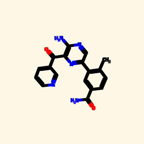 Cc1ccc(C(N)=O)cc1-c1cnc(N)c(C(=O)c2cccnc2)n1